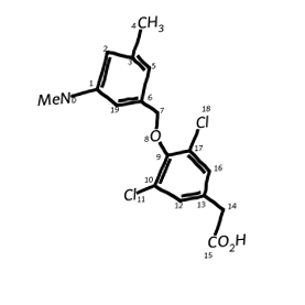 CNc1cc(C)cc(COc2c(Cl)cc(CC(=O)O)cc2Cl)c1